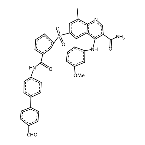 COc1cccc(Nc2c(C(N)=O)cnc3c(C)cc(S(=O)(=O)c4cccc(C(=O)Nc5ccc(-c6ccc(C=O)cc6)cc5)c4)cc23)c1